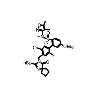 CCCCC1=NC2(CCCC2)C(=O)N1Cc1cc(F)c(-c2cc(OC)ccc2S(=O)(=O)Nc2noc(C)c2C)cc1Cl